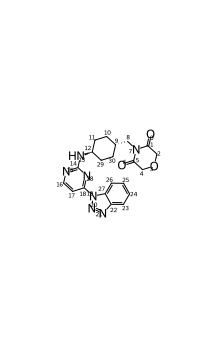 O=C1COCC(=O)N1C[C@H]1CC[C@H](Nc2nccc(-n3nnc4ccccc43)n2)CC1